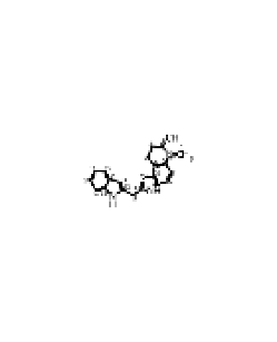 CC1CCc2c(ccc3[nH]c(Cc4cc5ccccc5[nH]4)nc23)N1C